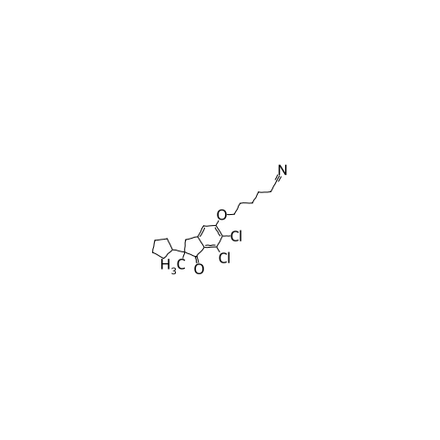 CC1(C2CCCC2)Cc2cc(OCCCCCC#N)c(Cl)c(Cl)c2C1=O